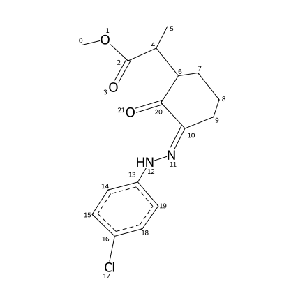 COC(=O)C(C)C1CCCC(=NNc2ccc(Cl)cc2)C1=O